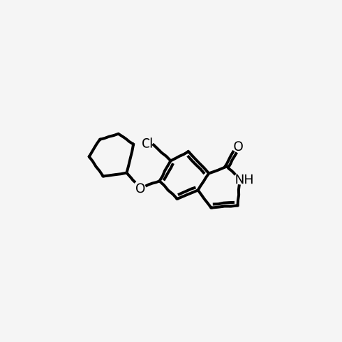 O=c1[nH]ccc2cc(OC3CCCCC3)c(Cl)cc12